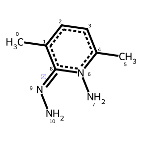 Cc1ccc(C)n(N)/c1=N\N